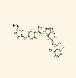 Cc1cncc(Cl)c1[C@H](C)Oc1ccc2[nH]nc(/C=C(\F)c3ccc(CN4CCC(O)C4)nc3)c2c1